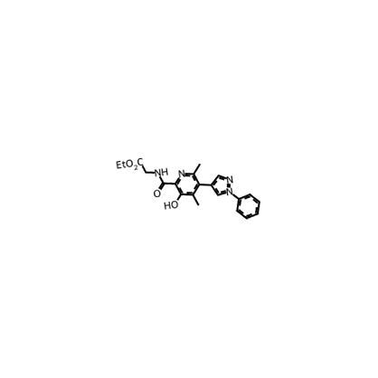 CCOC(=O)CNC(=O)c1nc(C)c(-c2cnn(-c3ccccc3)c2)c(C)c1O